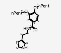 CCCCCOc1ccc(C(=O)NCCc2c[nH]cn2)cc1OCCCCC